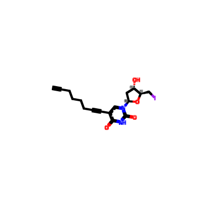 C#CCCCCC#Cc1cn([C@H]2C[C@H](O)[C@@H](CI)O2)c(=O)[nH]c1=O